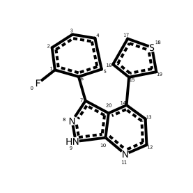 Fc1ccccc1-c1n[nH]c2nccc(-c3ccsc3)c12